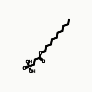 CCCCCCCCCCOC(=O)CCP(=O)(O)O